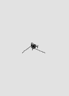 CCCCCCCCCCCCCCC(F)(F)O[PH](=O)OC(F)(F)CCCCCCCCCCCCCC